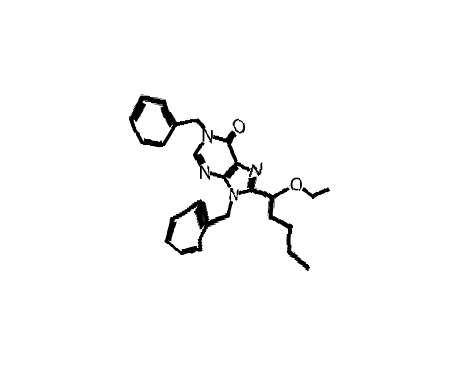 CCCCC(OCC)c1nc2c(=O)n(Cc3ccccc3)cnc2n1Cc1ccccc1